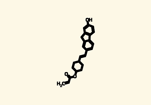 C=CC(=O)OC1CCC(C=Cc2ccc3c(c2)Cc2cc(O)ccc2-3)CC1